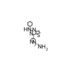 CC(CN)n1cc(-c2nc(Nc3ccccc3)nc3ccsc23)cn1